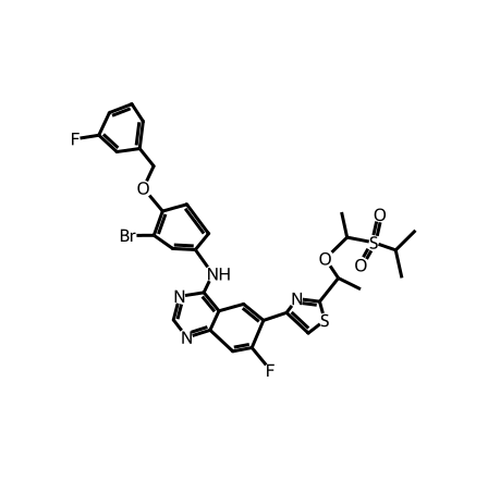 CC(OC(C)S(=O)(=O)C(C)C)c1nc(-c2cc3c(Nc4ccc(OCc5cccc(F)c5)c(Br)c4)ncnc3cc2F)cs1